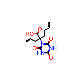 C=CCCC(CC=C)(C(=O)O)n1c(=O)[nH]c(=O)[nH]c1=O